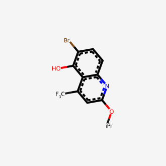 CC(C)Oc1cc(C(F)(F)F)c2c(O)c(Br)ccc2n1